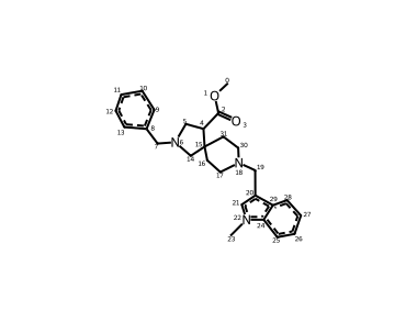 COC(=O)C1CN(Cc2ccccc2)CC12CCN(Cc1cn(C)c3ccccc13)CC2